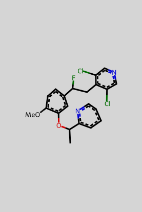 COc1ccc(C(F)Cc2c(Cl)cncc2Cl)cc1OC(C)c1ccccn1